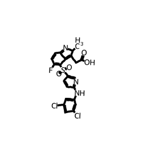 CC1N=c2ccc(F)c(S(=O)(=O)c3ccc(Nc4cc(Cl)cc(Cl)c4)nc3)c2=C1CC(=O)O